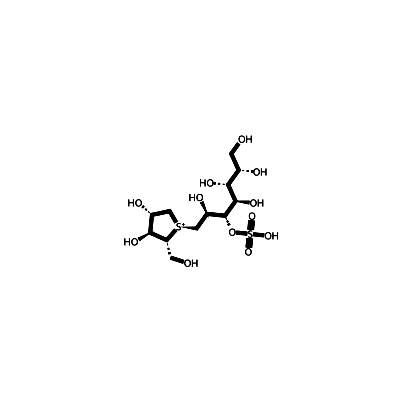 O=S(=O)(O)O[C@@H]([C@H](O)[C@H](O)[C@@H](O)CO)[C@H](O)C[S@+]1C[C@@H](O)[C@H](O)[C@H]1CO